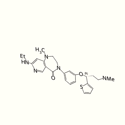 CCNc1cc2c(cn1)C(=O)N(c1cccc(O[C@H](CCNC)c3cccs3)c1)CCN2C